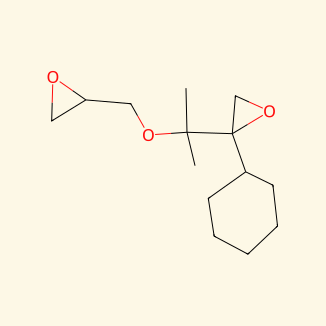 CC(C)(OCC1CO1)C1(C2CCCCC2)CO1